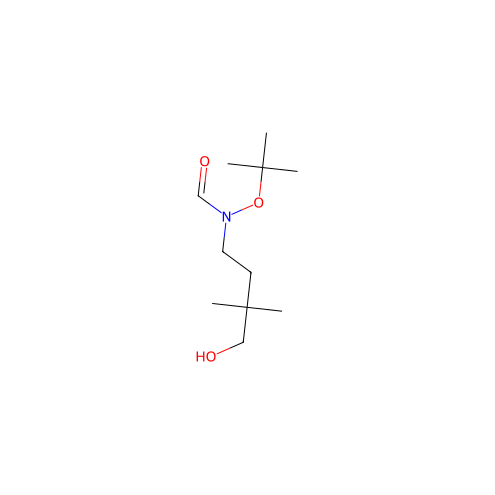 CC(C)(CO)CCN(C=O)OC(C)(C)C